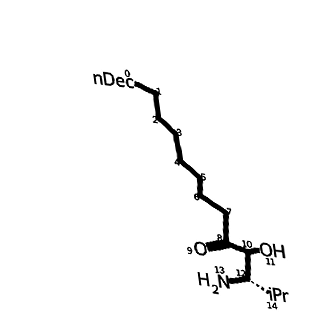 CCCCCCCCCCCCCCCCCC(=O)C(O)[C@@H](N)C(C)C